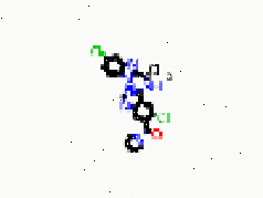 C[C@H](Nc1ncnc2cc(C(=O)N3CC=CC3)c(Cl)cc12)c1nc2cc(Cl)ccc2[nH]1